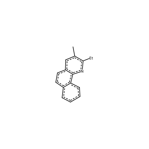 CCc1nc2c(ccc3ccccc32)cc1C